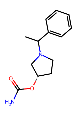 CC(c1ccccc1)N1CC[C@H](OC(N)=O)C1